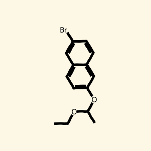 CCOC(C)Oc1ccc2cc(Br)ccc2c1